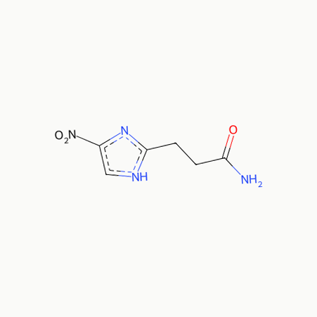 NC(=O)CCc1nc([N+](=O)[O-])c[nH]1